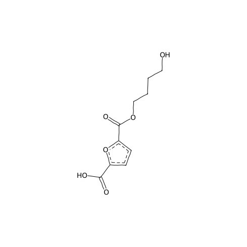 O=C(O)c1ccc(C(=O)OCCCCO)o1